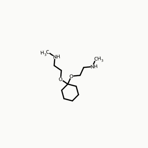 CNCCOC1(OCCNC)CCCCC1